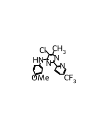 COc1ccc(Nc2nc(-c3ccc(C(F)(F)F)cn3)nc(C)c2Cl)cc1